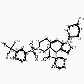 O=C(c1ccccn1)[C@]12Cc3cnn(-c4ccc(F)cc4)c3C=C1CCN(S(=O)(=O)c1ccnc(C(F)(F)F)c1)C2